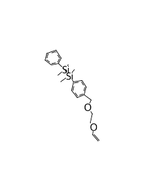 C=COCCOCc1ccc([Si](C)(C)[Si](C)(C)c2ccccc2)cc1